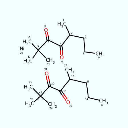 CCCC(C)C(=O)C(=O)C(C)(C)C.CCCC(C)C(=O)C(=O)C(C)(C)C.[Ni]